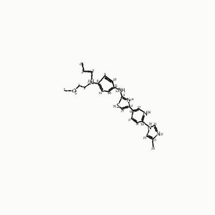 CCCN(CCOC)c1ccc(Nc2nc(-c3ccc(-n4cnc(C)c4)nc3)cs2)cc1